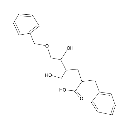 O=C(O)C(Cc1ccccc1)CC(CO)C(O)COCc1ccccc1